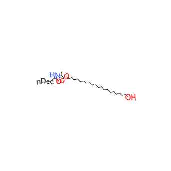 CCCCCCCCCCCC(=O)N[C@@H](C)C(=O)OCCCCCCCCCCCCCCCCCCCCO